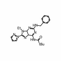 CCN1C(n2cccn2)=NC2C(NC(=O)C(C)(C)C)=NC(NCc3ccccc3)=NC21